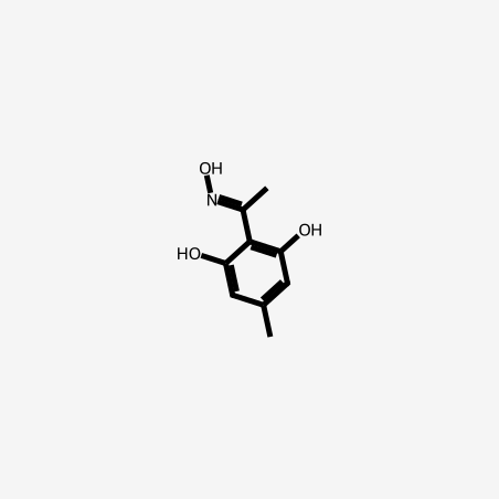 CC(=NO)c1c(O)cc(C)cc1O